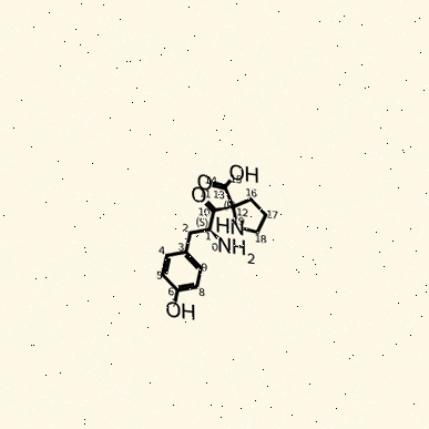 N[C@@H](Cc1ccc(O)cc1)C(=O)[C@@]1(C(=O)O)CCCN1